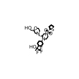 CC(O)(c1ccc(N2CCN(S(=O)(=O)c3cccs3)C[C@H]2CN2CCO[C@H](CO)C2)cc1)C(F)(F)F